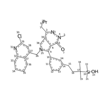 CC(C)Cc1nn(C)c(=O)c2c(-c3cccc(CCC(C)(C)[Si](C)(C)O)c3)n(Cc3cc(Cl)nc4ccccc34)cc12